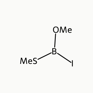 COB(I)SC